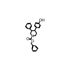 O=C(OCc1ccccc1)N1CCC(c2ccc(O)cc2)C(c2ccccc2)C1